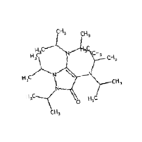 CC(C)N(c1c(N(C(C)C)C(C)C)n(C(C)C)n(C(C)C)c1=O)C(C)C